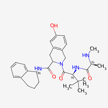 CN[C@@H](C)C(=O)N[C@H](C(=O)N1Cc2ccc(O)cc2CC1C(=O)N[C@@H]1CCCc2ccccc21)C(C)(C)C